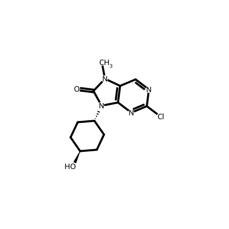 Cn1c(=O)n([C@H]2CC[C@H](O)CC2)c2nc(Cl)ncc21